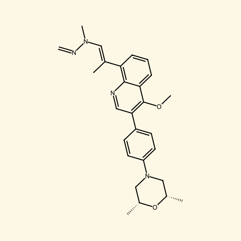 C=NN(C)/C=C(\C)c1cccc2c(OC)c(-c3ccc(N4C[C@@H](C)O[C@@H](C)C4)cc3)cnc12